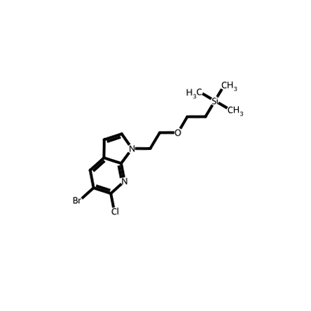 C[Si](C)(C)CCOCCn1ccc2cc(Br)c(Cl)nc21